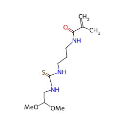 C=C(C)C(=O)NCCCNC(=S)NCC(OC)OC